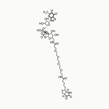 Cc1nc2c(ncn2[C@@H]2O[C@H](COP(=O)(O)OP(=O)(O)O[C@H]3OC(CNC(=O)CCOCCOCCOCCOCCNC(=O)CCCC[C@@H]4SC[C@@H]5NC(=O)N[C@@H]54)[C@@H](O)[C@H](O)C3O)C(O)[C@@H]2O)c(=O)[nH]1